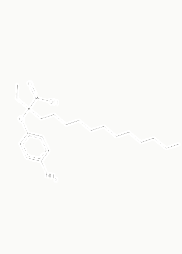 CCCCCCCCCCCCC(CC)(Oc1ccc(N)cc1)C(=O)O